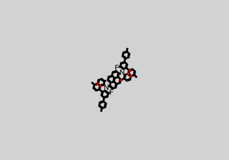 Cc1ccc(-c2cc(F)c(N(c3c(C)cccc3C)c3ccc4ccc5c(N(c6c(C)cccc6C)c6c(F)cc(-c7ccc(C)cc7)cc6-c6ccc(C)cc6)ccc6ccc3c4c65)c(-c3ccc(C)cc3)c2)cc1